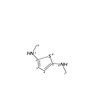 CNc1ccc(NC)s1